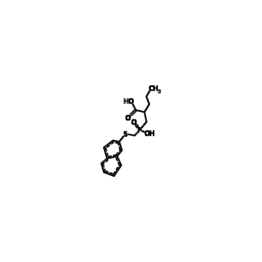 CCCC(CP(=O)(O)CSc1ccc2ccccc2c1)C(=O)O